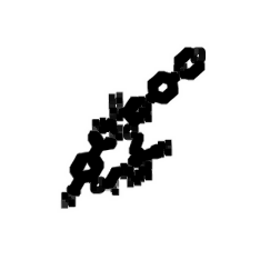 C[C@@H](Cn1cnnn1)Oc1cc(-c2cnc(Nc3cn(C4CCC(N5CCOCC5)CC4)nc3OCCCC#N)nc2)ccc1C#N